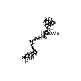 CC[C@@H]1C(=O)N(C)c2cnc(Nc3ccc(C(=O)NCCCOCCN(C)CCC#Cc4cccc5c4CN(C4CCC(=O)NC4=O)C5=O)cc3OC)nc2N1C1CCCC1